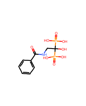 O=C(NCC(O)(P(=O)(O)O)P(=O)(O)O)c1ccccc1